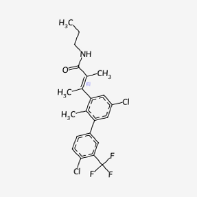 CCCNC(=O)/C(C)=C(\C)c1cc(Cl)cc(-c2ccc(Cl)c(C(F)(F)F)c2)c1C